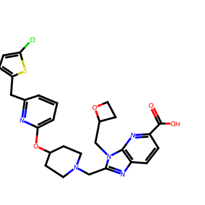 O=C(O)c1ccc2nc(CN3CCC(Oc4cccc(Cc5ccc(Cl)s5)n4)CC3)n(CC3CCO3)c2n1